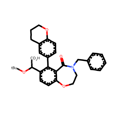 CC(C)(C)OC(C(=O)O)c1ccc2c(c1-c1ccc3c(c1)CCCO3)C(=O)N(Cc1ccccc1)CCO2